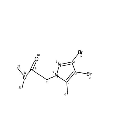 Cc1c(Br)c(Br)nn1CC(=O)N(C)C